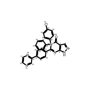 O=C1c2cn[nH]c2N=C(c2ccc(-c3cnccn3)cc2)[N+]1(c1ccccc1)c1ccc(Cl)cc1